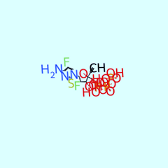 C#C[C@]1(COP(=O)(O)OP(=O)(O)OP(=O)(O)O)OC(n2cc(F)c(N)nc2=S)C(F)C1O